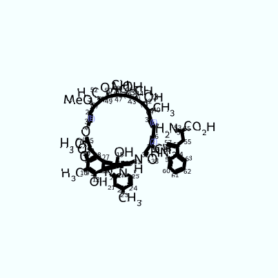 CO[C@H]1/C=C/O[C@@]2(C)Oc3c(C)c(O)c4c(O)c(c5c(nc6cc(C)ccn65)c4c3C2=O)NC(=O)/C(C)=C\C=C\[C@H](C)[C@H](O)[C@@H](C)[C@@H](O)[C@@H](C)[C@H](OC(C)=O)[C@@H]1C.NC(Cc1c[nH]c2ccccc12)C(=O)O